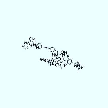 COC(=O)NC(C(=O)N[C@@H](Cc1ccc(C#Cc2ccc(N3CC(C)NC(C)C3)nc2)cc1)[C@@H](O)CNCc1c(F)cc(-c2ccn(C(F)F)n2)cc1F)C(C)(C)C(F)(F)F